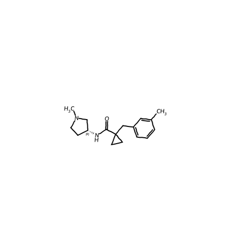 Cc1cccc(CC2(C(=O)N[C@@H]3CCN(C)C3)CC2)c1